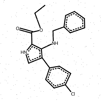 CCOC(=O)c1[nH]cc(-c2ccc(Cl)cc2)c1NCc1ccccc1